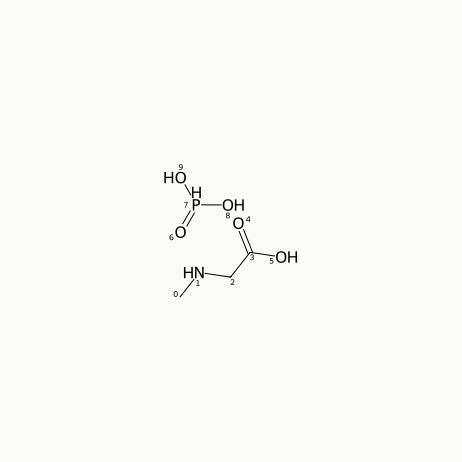 CNCC(=O)O.O=[PH](O)O